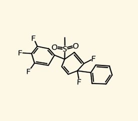 CS(=O)(=O)C1(c2cc(F)c(F)c(F)c2)C=CC(F)(c2ccccc2)C(F)=C1